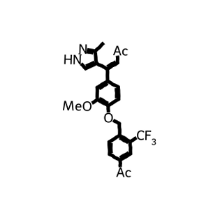 COc1cc(/C(=C/C(C)=O)c2c[nH]nc2C)ccc1OCc1ccc(C(C)=O)cc1C(F)(F)F